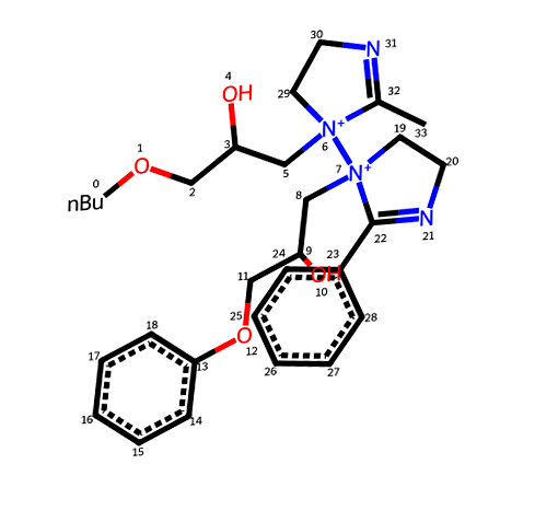 CCCCOCC(O)C[N+]1([N+]2(CC(O)COc3ccccc3)CCN=C2c2ccccc2)CCN=C1C